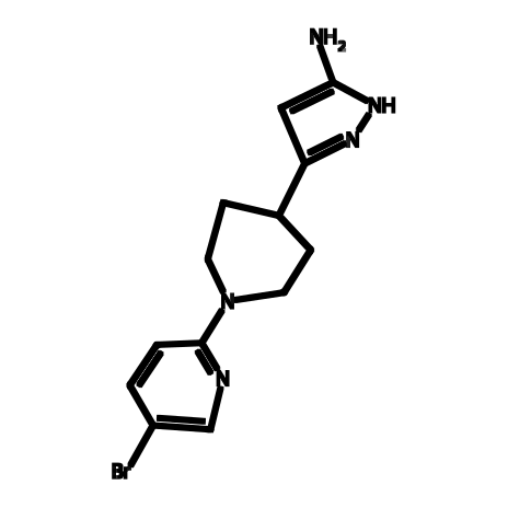 Nc1cc(C2CCN(c3ccc(Br)cn3)CC2)n[nH]1